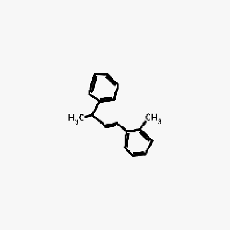 Cc1ccccc1C=CC(C)c1ccccc1